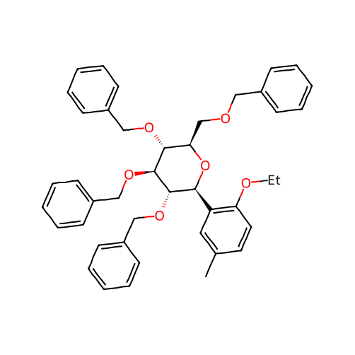 CCOc1ccc(C)cc1[C@@H]1O[C@H](COCc2ccccc2)[C@@H](OCc2ccccc2)[C@H](OCc2ccccc2)[C@H]1OCc1ccccc1